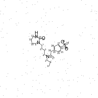 CCCN(CCCCN1CCCCNC1=O)C(C)Cc1ccc(S(C)(=O)=O)cc1